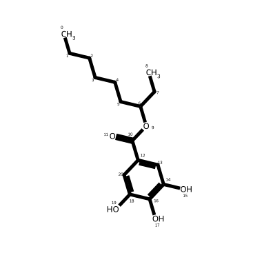 CCCCCCC(CC)OC(=O)c1cc(O)c(O)c(O)c1